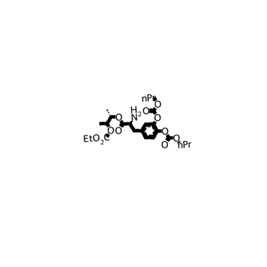 CCCOC(=O)Oc1ccc(C[C@H](N)C(=O)O[C@@H](C)C(C)OC(=O)OCC)cc1OC(=O)OCCC